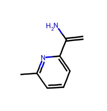 C=C(N)c1cccc(C)n1